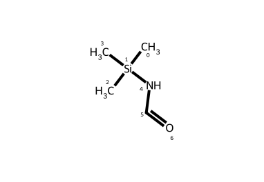 C[Si](C)(C)NC=O